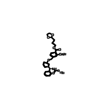 COc1cc(COc2cccc([C@@H](NC(=O)OC(C)(C)C)c3ccccc3)c2)ccc1C(=O)OCCCC1OCCO1